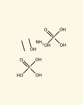 CC.CO.N.O=P(O)(O)O.O=P(O)(O)O